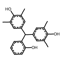 Cc1cc(C(c2cc(C)c(O)c(C)c2)c2ccccc2O)cc(C)c1O